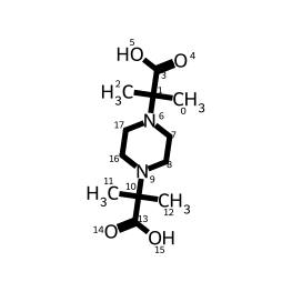 CC(C)(C(=O)O)N1CCN(C(C)(C)C(=O)O)CC1